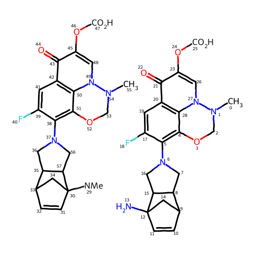 CN1COc2c(N3CC4C5C=CC(N)(C5)C4C3)c(F)cc3c(=O)c(OC(=O)O)cn1c23.CNC12C=CC(C1)C1CN(c3c(F)cc4c(=O)c(OC(=O)O)cn5c4c3OCN5C)CC12